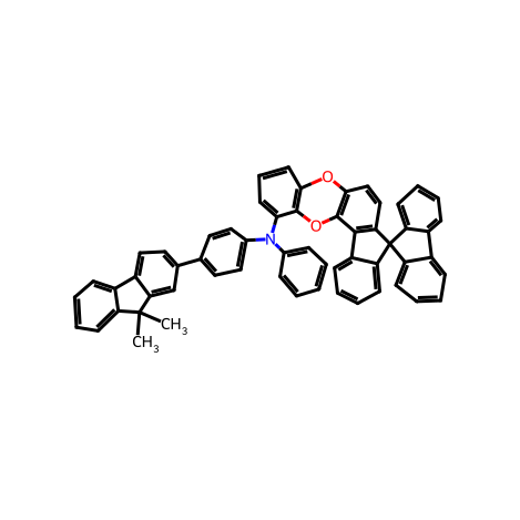 CC1(C)c2ccccc2-c2ccc(-c3ccc(N(c4ccccc4)c4cccc5c4Oc4c(ccc6c4-c4ccccc4C64c6ccccc6-c6ccccc64)O5)cc3)cc21